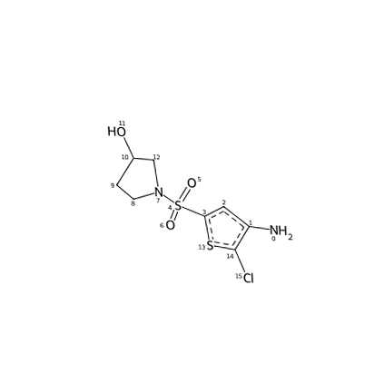 Nc1cc(S(=O)(=O)N2CCC(O)C2)sc1Cl